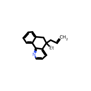 C=CCC1(CC)Cc2ccccc2-c2ncccc21